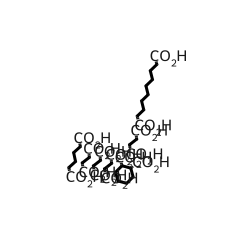 O=C(O)C1CCCCC1C(=O)O.O=C(O)CCC(=O)O.O=C(O)CCC(=O)O.O=C(O)CCC(=O)O.O=C(O)CCC(=O)O.O=C(O)CCCCC(=O)O.O=C(O)CCCCCCCCC(=O)O